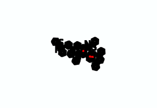 c1ccc(-n2c3c(c4ccc(-c5ccc(-n6c7ccccc7c7ccc8c9ccccc9n(-c9cccc(-c%10c%11ccccc%11nc%11c%10sc%10ccccc%10%11)c9)c8c76)cc5)cc42)-c2ccccc2N(c2cccc(-c4c5ccccc5nc5c4sc4ccccc45)c2)c2ccccc2-3)cc1